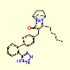 CCCCCc1c(Cc2ccc(-c3ccccc3-c3nnn[nH]3)cc2)c(=O)n2n1C1C=CC2CC1